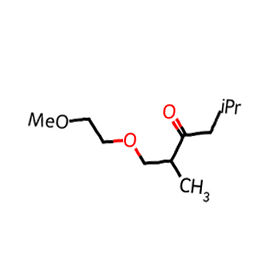 COCCOCC(C)C(=O)CC(C)C